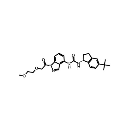 COCCOCC(=O)n1ncc2c(NC(=O)N[C@@H]3CCc4cc(C(C)(C)C)ccc43)cccc21